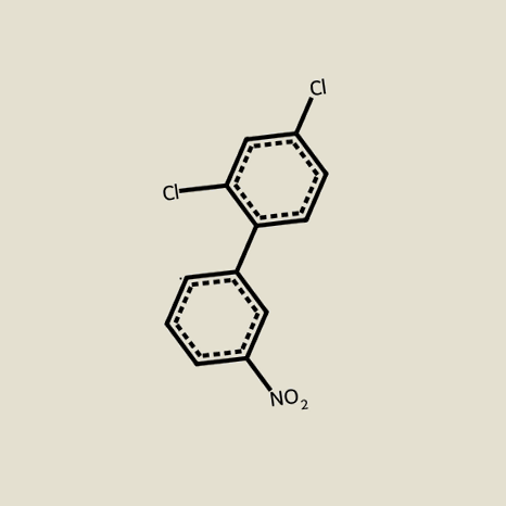 O=[N+]([O-])c1cc[c]c(-c2ccc(Cl)cc2Cl)c1